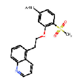 CC(=O)Nc1ccc(S(C)(=O)=O)c(OCCc2cccc3ncccc23)c1